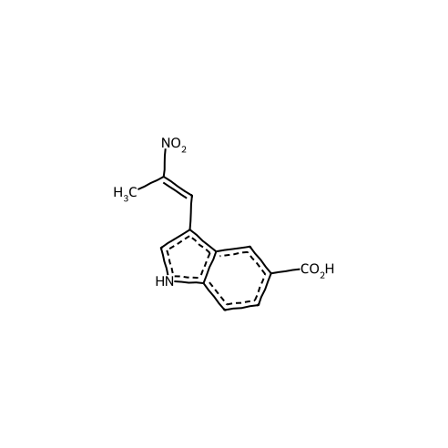 CC(=Cc1c[nH]c2ccc(C(=O)O)cc12)[N+](=O)[O-]